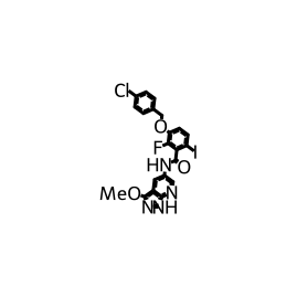 COc1n[nH]c2ncc(NC(=O)c3c(I)ccc(OCc4ccc(Cl)cc4)c3F)cc12